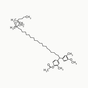 CCCC[Si](C)(C)O[Si](C)(C)CCCCCCCCCCCCCCCCCCCCC(c1ccc(OC)c(C)c1)c1ccc(OC(C)=O)c(C)c1